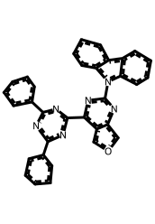 c1ccc(-c2nc(-c3ccccc3)nc(-c3nc(-n4c5ccccc5c5ccccc54)nc4cocc34)n2)cc1